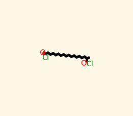 CC(CCCCCCCCCCCCCCCC(=O)Cl)C(=O)Cl